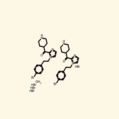 Br.Br.Br.Br.O.O=C(c1nccn1CCc1ccc(Br)cc1)C1CCNCC1.O=C(c1nccn1CCc1ccc(Br)cc1)C1CCNCC1